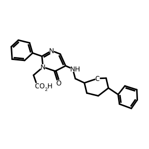 O=C(O)Cn1c(-c2ccccc2)ncc(NCC2CCC(c3ccccc3)CC2)c1=O